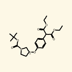 CCOC(=O)C(C(=O)OCC)c1ccc(O[C@H]2CCN(C(=O)OC(C)(C)C)C2)cc1